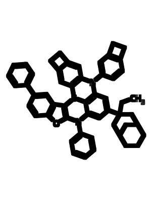 CCC1(c2cc3c4c(c2)N(c2ccccc2)c2oc5ccc(-c6ccccc6)cc5c2B4c2cc4c(cc2N3c2ccc3c(c2)CC3)CC4)CC2CCCC(C2)C1